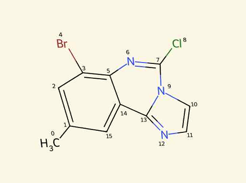 Cc1cc(Br)c2nc(Cl)n3ccnc3c2c1